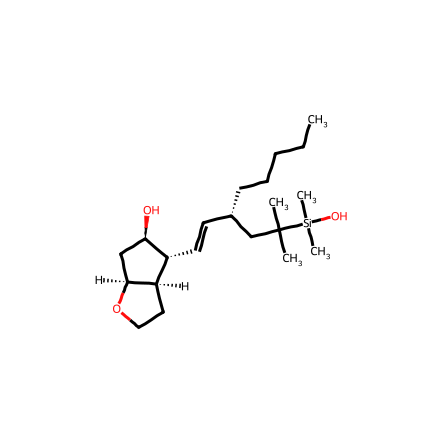 CCCCC[C@@H](/C=C/[C@@H]1[C@H]2CCO[C@H]2C[C@H]1O)CC(C)(C)[Si](C)(C)O